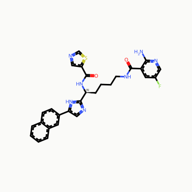 Nc1ncc(F)cc1C(=O)NCCCC[C@H](NC(=O)c1cncs1)c1ncc(-c2ccc3ccccc3c2)[nH]1